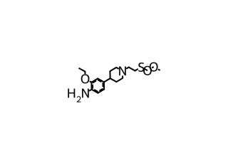 CCOc1cc(C2CCN(CCSOOC)CC2)ccc1N